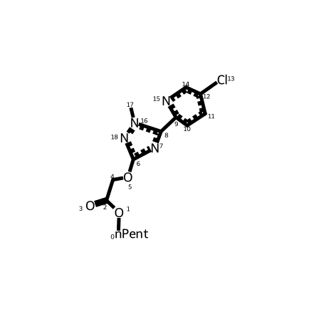 CCCCCOC(=O)COc1nc(-c2ccc(Cl)cn2)n(C)n1